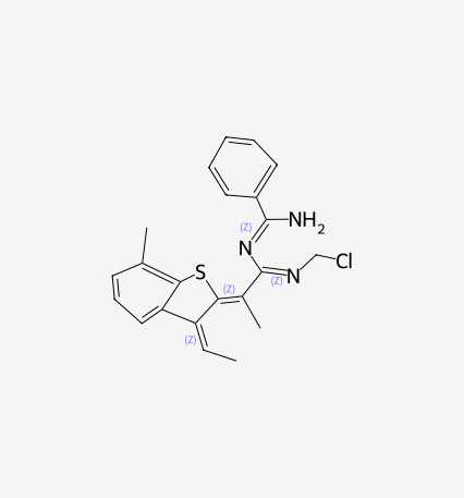 C\C=c1/c(=C(C)/C(=N/CCl)/N=C(\N)c2ccccc2)sc2c(C)cccc12